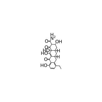 CCc1ccc(O)c2c1C[C@H]1C[C@H]3CC(O)C(C(N)=O)C(=O)[C@@]3(O)C(O)=C1C2=O